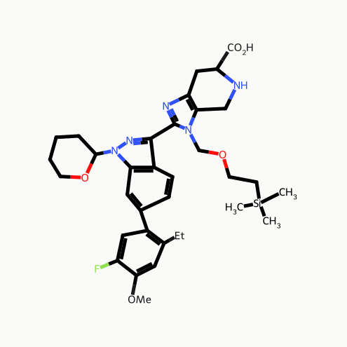 CCc1cc(OC)c(F)cc1-c1ccc2c(-c3nc4c(n3COCC[Si](C)(C)C)CNC(C(=O)O)C4)nn(C3CCCCO3)c2c1